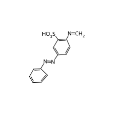 C=Nc1ccc(N=Nc2ccccc2)cc1S(=O)(=O)O